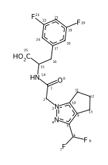 O=C(Cn1nc(C(F)F)c2c1CCC2)NC(Cc1cc(F)cc(F)c1)C(=O)O